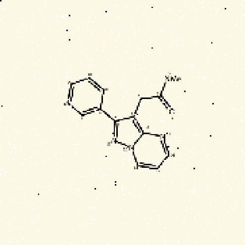 CNC(=O)Cc1c(-c2ccccc2)nn2cccnc12